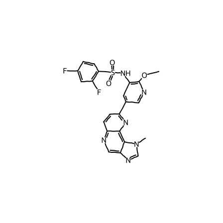 COc1ncc(-c2ccc3ncc4ncn(C)c4c3n2)cc1NS(=O)(=O)c1ccc(F)cc1F